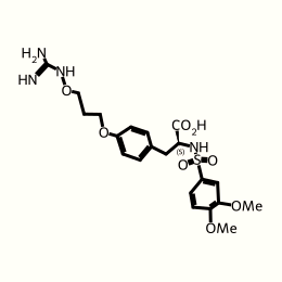 COc1ccc(S(=O)(=O)N[C@@H](Cc2ccc(OCCCONC(=N)N)cc2)C(=O)O)cc1OC